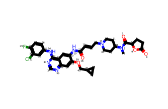 CN(C(=O)C1CCC(=O)O1)C1CCN(C/C=C/C(=O)Nc2cc3c(Nc4ccc(F)c(Cl)c4)ncnc3cc2OCC2CC2)CC1